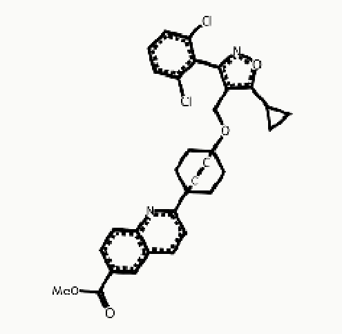 COC(=O)c1ccc2nc(C34CCC(OCc5c(-c6c(Cl)cccc6Cl)noc5C5CC5)(CC3)CC4)ccc2c1